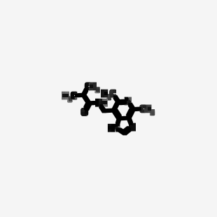 Cc1nc(C)c2nc[nH]c2c1CNC(=O)C(C)C